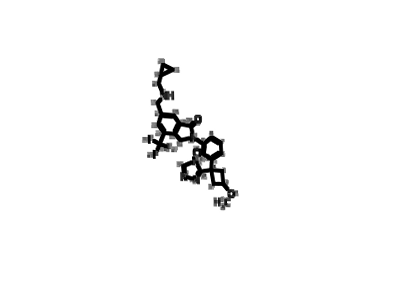 COC1CC(c2cccc(N3Cc4c(cc(CNCC5CC5)cc4C(F)(F)F)C3=O)c2)(c2nncn2C)C1